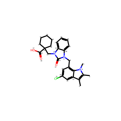 Cc1c(C)n(C)c2c(Cn3c(=O)n(CC4(C(=O)O)CCCCC4)c4ccccc43)cc(Cl)cc12